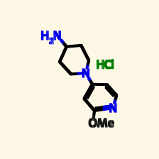 COc1cc(N2CCC(N)CC2)ccn1.Cl